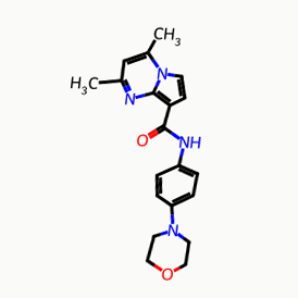 Cc1cc(C)n2ccc(C(=O)Nc3ccc(N4CCOCC4)cc3)c2n1